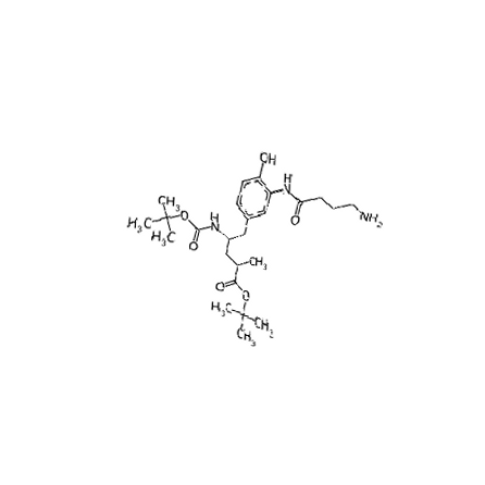 CC(CC(Cc1ccc(O)c(NC(=O)CCCN)c1)NC(=O)OC(C)(C)C)C(=O)OC(C)(C)C